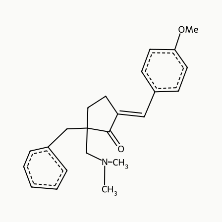 COc1ccc(/C=C2\CCC(Cc3ccccc3)(CN(C)C)C2=O)cc1